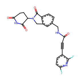 O=C(C#Cc1ccc(F)nc1F)NCc1ccc2c(c1)CN(C1CCC(=O)NC1=O)C2=O